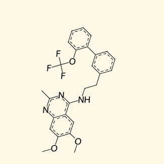 COc1cc2nc(C)nc(NCCc3cccc(-c4ccccc4OC(F)(F)F)c3)c2cc1OC